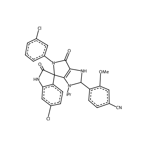 COc1cc(C#N)ccc1C1NC2=C(N1C(C)C)C1(C(=O)Nc3cc(Cl)ccc31)N(c1cccc(Cl)c1)C2=O